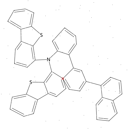 c1cc(-c2ccccc2N(c2cccc3c2sc2ccccc23)c2cccc3c2sc2ccccc23)cc(-c2cccc3ccccc23)c1